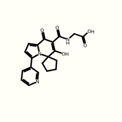 O=C(O)CNC(=O)C1=C(O)C2(CCCC2)n2c(ccc2-c2cccnc2)C1=O